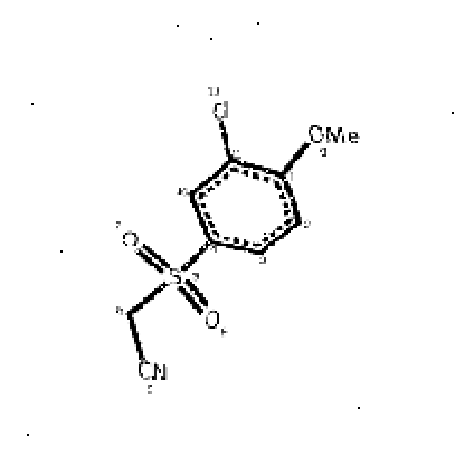 COc1ccc(S(=O)(=O)CC#N)cc1Cl